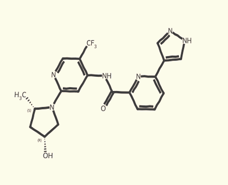 C[C@H]1C[C@@H](O)CN1c1cc(NC(=O)c2cccc(-c3cn[nH]c3)n2)c(C(F)(F)F)cn1